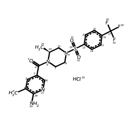 Cc1cc(C(=O)N2CCN(S(=O)(=O)c3ccc(C(F)(F)F)cc3)C[C@@H]2C)cnc1N.Cl